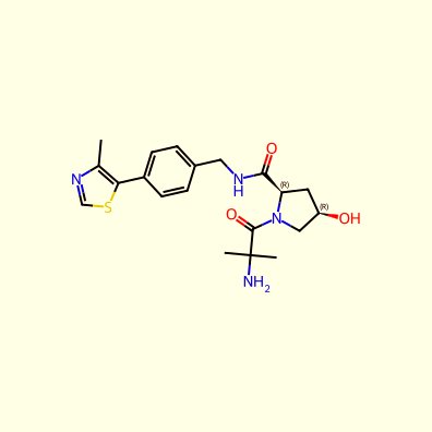 Cc1ncsc1-c1ccc(CNC(=O)[C@H]2C[C@@H](O)CN2C(=O)C(C)(C)N)cc1